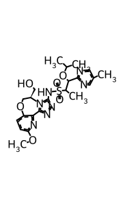 COc1ccc2c(n1)-c1nnc(NS(=O)(=O)C(C)C(OC(C)C)c3ncc(C)cn3)n1[C@H](CO)CO2